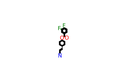 N#CC=C[C@H]1CC[C@H](OC(=O)c2ccc(F)c(F)c2)CC1